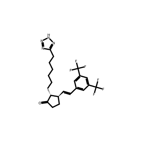 O=C1CC[C@H](C=Cc2cc(C(F)(F)F)cc(C(F)(F)F)c2)[C@H]1CCCCCCc1nn[nH]n1